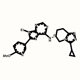 CCn1c(-c2ccc(OC)nc2)nc2c(N[C@@H]3CCc4nnc(C5CC5)n4C3)ncnc21